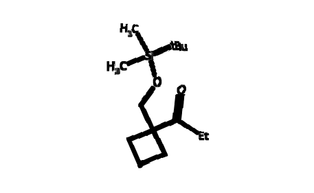 CCC(=O)C1(CO[Si](C)(C)C(C)(C)C)CCC1